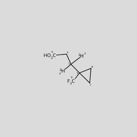 [2H]C([2H])(CC(=O)O)C1(C(F)(F)F)CC1